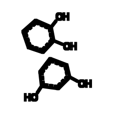 Oc1cccc(O)c1.Oc1ccccc1O